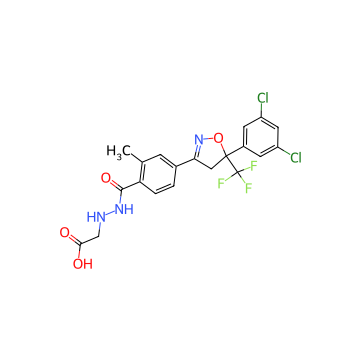 Cc1cc(C2=NOC(c3cc(Cl)cc(Cl)c3)(C(F)(F)F)C2)ccc1C(=O)NNCC(=O)O